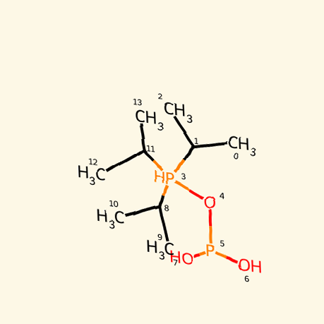 CC(C)[PH](OP(O)O)(C(C)C)C(C)C